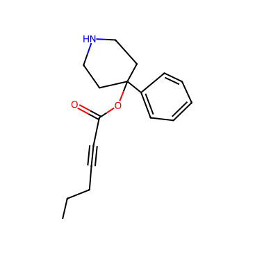 CCCC#CC(=O)OC1(c2ccccc2)CCNCC1